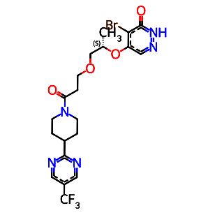 C[C@@H](COCCC(=O)N1CCC(c2ncc(C(F)(F)F)cn2)CC1)Oc1cn[nH]c(=O)c1Br